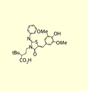 COc1cc(/C=C2\S/C(=N\c3ccccc3)N(CCC(C(=O)O)C(C)(C)C)C2=O)cc(OC)c1O